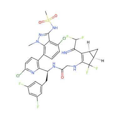 Cn1nc(NS(C)(=O)=O)c2c(Cl)ccc(-c3ccc(Cl)nc3[C@H](Cc3cc(F)cc(F)c3)NC(=O)CNC3=C(C(=N)C(F)F)[C@H]4C[C@H]4C3(F)F)c21